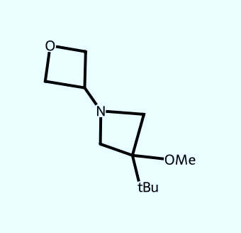 COC1(C(C)(C)C)CN(C2COC2)C1